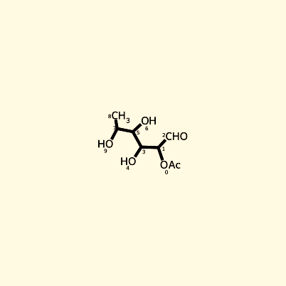 CC(=O)OC(C=O)C(O)C(O)C(C)O